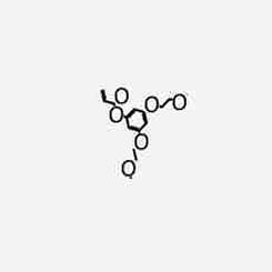 C=CC(=O)Oc1cc(OCCOC)cc(OCCOC)c1